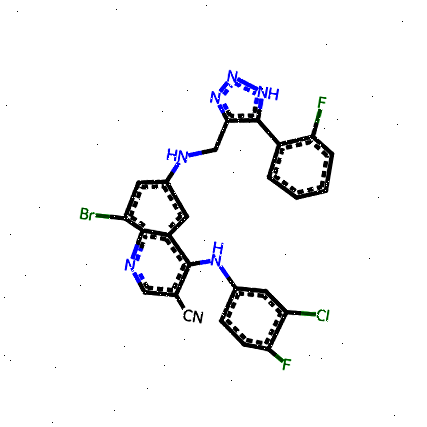 N#Cc1cnc2c(Br)cc(NCc3nn[nH]c3-c3ccccc3F)cc2c1Nc1ccc(F)c(Cl)c1